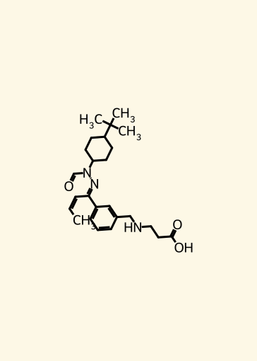 C/C=C\C(=N/N(C=O)C1CCC(C(C)(C)C)CC1)c1cccc(CNCCC(=O)O)c1